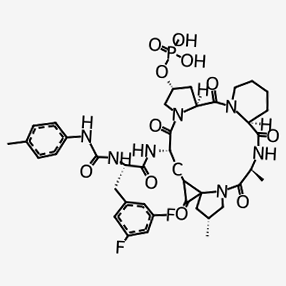 Cc1ccc(NC(=O)N[C@@H](Cc2cc(F)cc(F)c2)C(=O)N[C@H]2CC3C(=O)C34C[C@@H](C)CN4C(=O)[C@H](C)NC(=O)[C@@H]3CCCCN3C(=O)[C@@H]3C[C@@H](OP(=O)(O)O)CN3C2=O)cc1